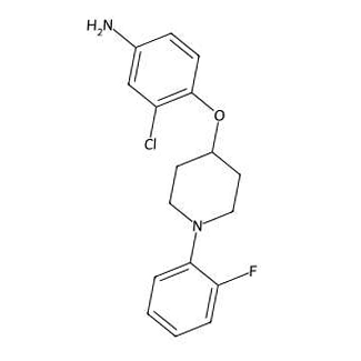 Nc1ccc(OC2CCN(c3ccccc3F)CC2)c(Cl)c1